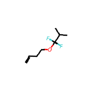 C=CCCOC(F)(F)C(C)C